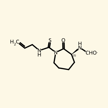 C=CCNC(=S)N1CCCC[C@H](N[C]=O)C1=O